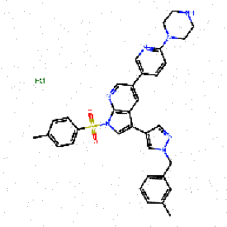 Cc1ccc(S(=O)(=O)n2cc(-c3cnn(Cc4cccc(C)c4)c3)c3cc(-c4ccc(N5CCNCC5)nc4)cnc32)cc1.Cl